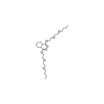 CCCCOCCOCCOC(=O)C1CCCCC1C(=O)OCCOCCOCCCC